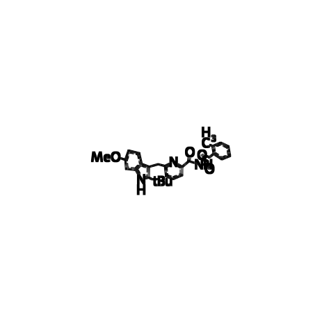 COc1ccc2c(Cc3cccc(C(=O)NS(=O)(=O)c4ccccc4C)n3)c(C(C)(C)C)[nH]c2c1